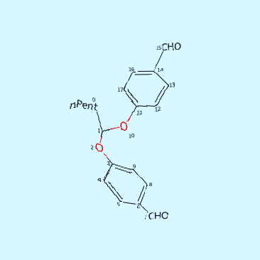 CCCCCC(Oc1ccc(C=O)cc1)Oc1ccc(C=O)cc1